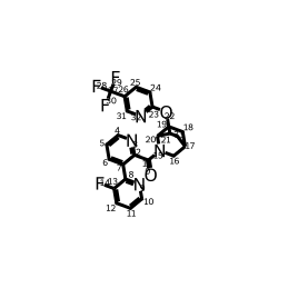 O=C(c1ncccc1-c1ncccc1F)N1CC2CCC1C(Oc1ccc(C(F)(F)F)cn1)C2